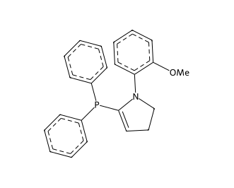 COc1ccccc1N1CCC=C1P(c1ccccc1)c1ccccc1